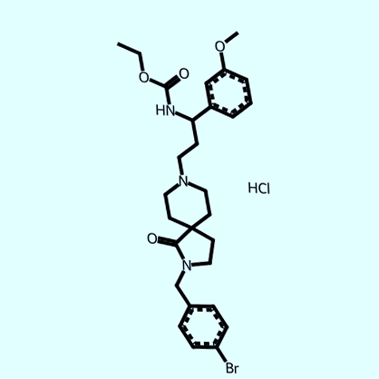 CCOC(=O)NC(CCN1CCC2(CC1)CCN(Cc1ccc(Br)cc1)C2=O)c1cccc(OC)c1.Cl